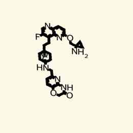 NC1(COc2ccc3ncc(F)c(CCC45CCC(NCc6ccc7c(n6)NC(=O)CO7)(CC4)CO5)c3n2)CC1